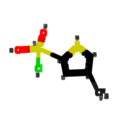 O=S(=O)(Cl)c1cc(C(F)(F)F)cs1